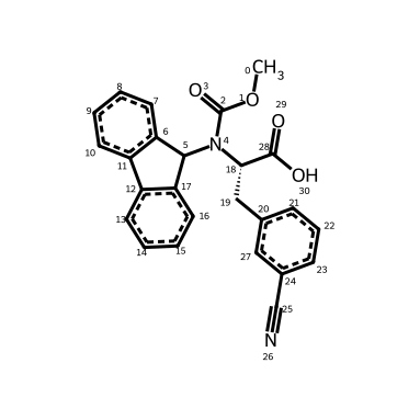 COC(=O)N(C1c2ccccc2-c2ccccc21)[C@@H](Cc1cccc(C#N)c1)C(=O)O